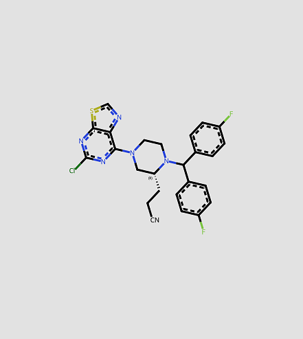 N#CCC[C@@H]1CN(c2nc(Cl)nc3scnc23)CCN1C(c1ccc(F)cc1)c1ccc(F)cc1